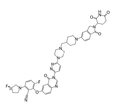 N#Cc1c(N2CC[C@@H](F)C2)ccc(F)c1Oc1ccc2ncn(-c3ccc(N4CCN(CC5CCN(c6ccc7c(c6)CN(C6CCC(=O)NC6=O)C7=O)CC5)CC4)nn3)c(=O)c2c1